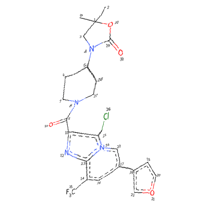 CC1(C)CN(C2CCN(C(=O)c3nc4c(C(F)(F)F)cc(-c5ccoc5)cn4c3Cl)CC2)C(=O)O1